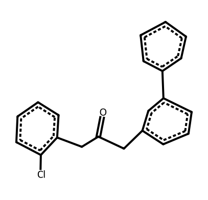 O=C(Cc1cccc(-c2ccccc2)c1)Cc1ccccc1Cl